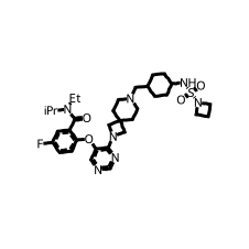 CCN(C(=O)c1cc(F)ccc1Oc1cncnc1N1CC2(CCN(CC3CCC(NS(=O)(=O)N4CCC4)CC3)CC2)C1)C(C)C